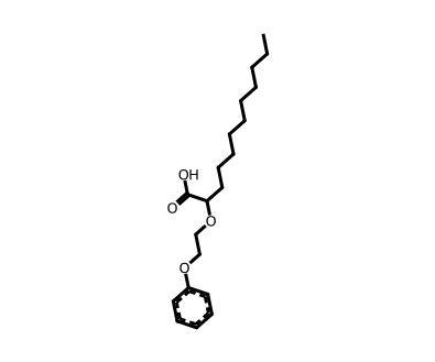 CCCCCCCCCCC(OCCOc1ccccc1)C(=O)O